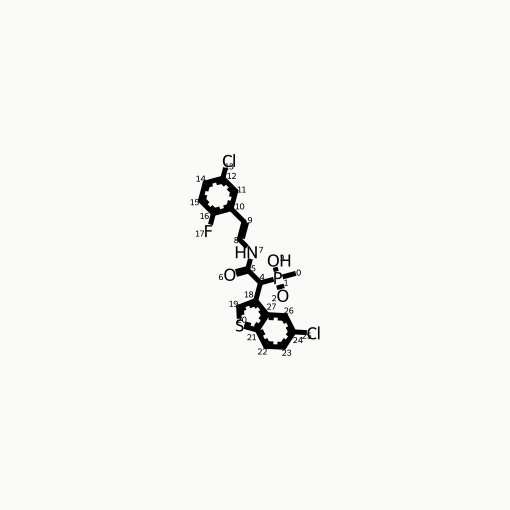 CP(=O)(O)C(C(=O)NC=Cc1cc(Cl)ccc1F)c1csc2ccc(Cl)cc12